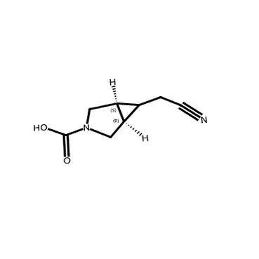 N#CCC1[C@H]2CN(C(=O)O)C[C@@H]12